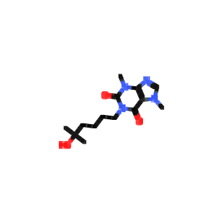 Cn1cnc2c1c(=O)n(CCCCC(C)(C)O)c(=O)n2C